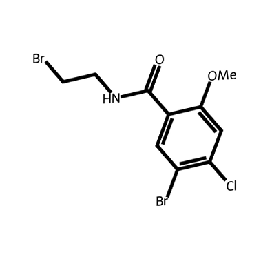 COc1cc(Cl)c(Br)cc1C(=O)NCCBr